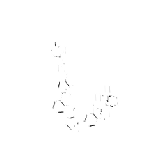 COc1nc(-c2cccc(-c3ccnc(-c4ccc5nc([C@H]6N[C@@H]7CC[C@H]6C7)[nH]c5c4)c3Cl)c2Cl)ccc1CNC[C@H]1CCC(=O)N1